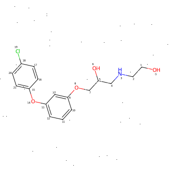 OCCNCC(O)COc1cccc(Oc2ccc(Cl)cc2)c1